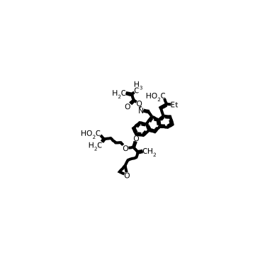 C=C(C)C(=O)ON=Cc1c2ccccc2cc2cccc(C=C(CC)C(=O)O)c12.C=C(CCCOC(=O)C(=C)CCC1CO1)C(=O)O